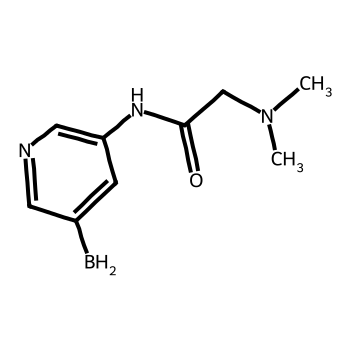 Bc1cncc(NC(=O)CN(C)C)c1